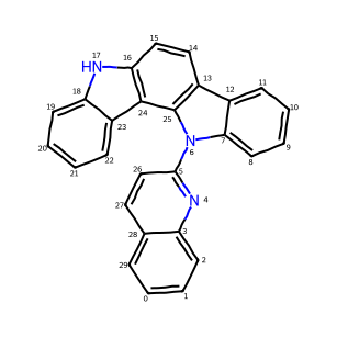 c1ccc2nc(-n3c4ccccc4c4ccc5[nH]c6ccccc6c5c43)ccc2c1